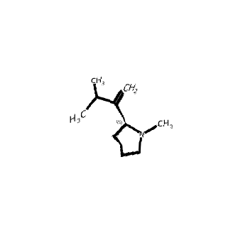 C=C(C(C)C)[C@@H]1CCCN1C